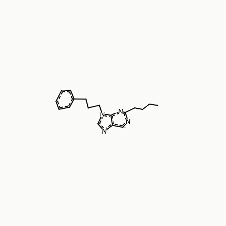 CCCCc1n[c]c2ncn(CCCc3ccccc3)c2n1